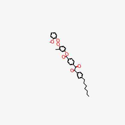 CCCCCCCc1ccc(C(=O)C(=O)c2ccc(C(=O)Oc3ccc(OOc4ccccc4OC)c(C)c3)cc2)cc1